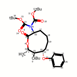 CC(C)CO[C@H]1[C@H](C)OC(=O)[C@@H](N(C(=O)OC(C)(C)C)C(=O)OC(C)(C)C)CCCC[C@@H]1Oc1ccccc1